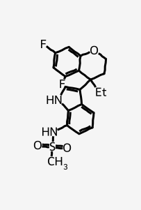 CCC1(c2c[nH]c3c(NS(C)(=O)=O)cccc23)CCOc2cc(F)cc(F)c21